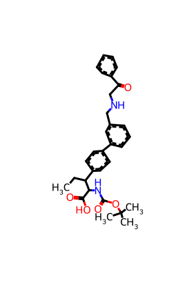 CCC(c1ccc(-c2cccc(CNCC(=O)c3ccccc3)c2)cc1)C(NC(=O)OC(C)(C)C)C(=O)O